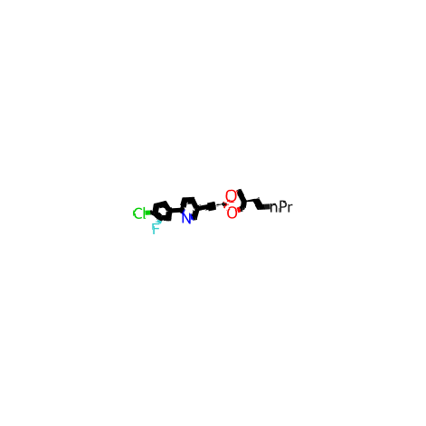 CCC/C=C/[C@H]1CO[C@H](C#Cc2ccc(-c3ccc(Cl)c(F)c3)nc2)OC1